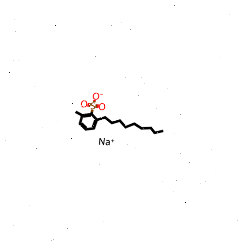 CCCCCCCCCc1cccc(C)c1S(=O)(=O)[O-].[Na+]